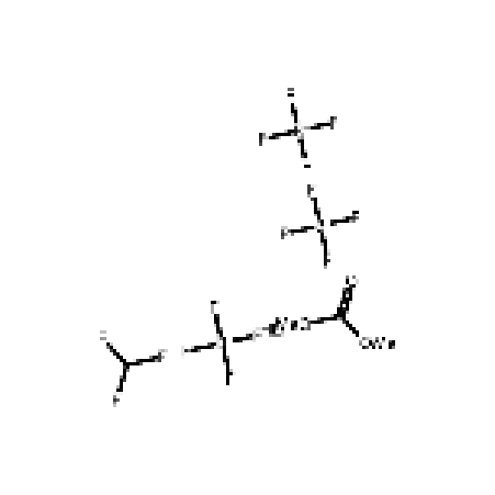 COC(=O)OC.FC(F)F.F[B-](F)(F)F.F[B-](F)(F)F.F[B-](F)(F)F.[LiH]